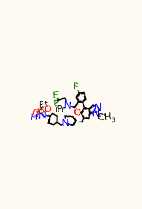 CCS(=O)(=O)NC1CCC(CN2CC[C@H](Cc3cc(-c4ccc(F)cc4C(=O)N(CC(F)F)C(C)C)c4cnn(C)c4c3)C2)CC1